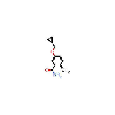 C=C/C=C\C(=C/CC(N)=O)OCC1CC1